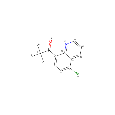 CC(C)(C)C(=O)c1ccc(Br)c2cccnc12